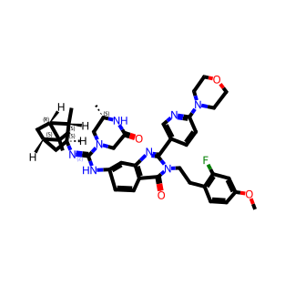 COc1ccc(CCn2c(-c3ccc(N4CCOCC4)nc3)nc3cc(N/C(=N/[C@H]4C[C@@H]5C[C@H]([C@@H]4C)C5(C)C)N4CC(=O)N[C@@H](C)C4)ccc3c2=O)c(F)c1